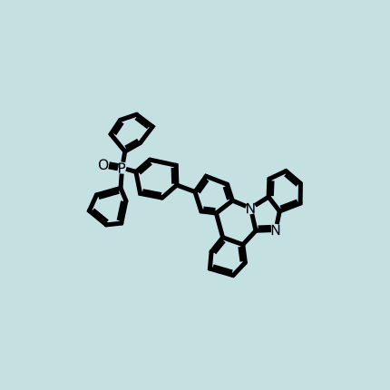 O=P(c1ccccc1)(c1ccccc1)c1ccc(-c2ccc3c(c2)c2ccccc2c2nc4ccccc4n32)cc1